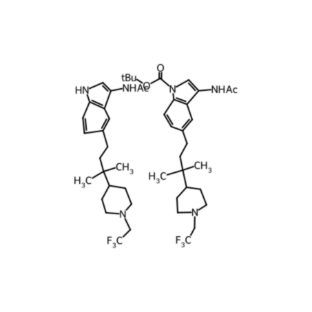 CC(=O)Nc1c[nH]c2ccc(CCC(C)(C)C3CCN(CC(F)(F)F)CC3)cc12.CC(=O)Nc1cn(C(=O)OC(C)(C)C)c2ccc(CCC(C)(C)C3CCN(CC(F)(F)F)CC3)cc12